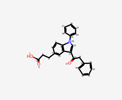 O=C(O)CCc1ccc2c(c1)c(C(=O)Cc1ccccc1)cn2-c1ccccc1